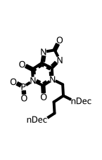 CCCCCCCCCCCCC(CCCCCCCCCC)Cn1c2c(c(=O)n(P(=O)=O)c1=O)=NC(=O)N=2